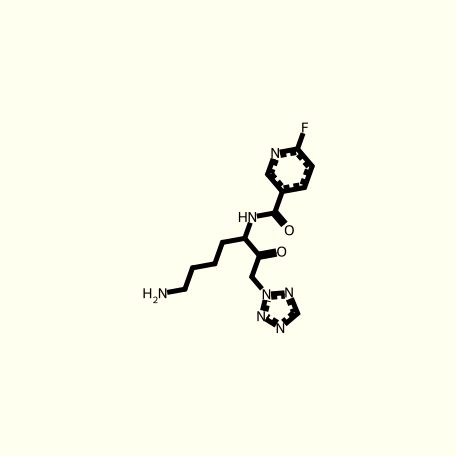 NCCCCC(NC(=O)c1ccc(F)nc1)C(=O)Cn1ncnn1